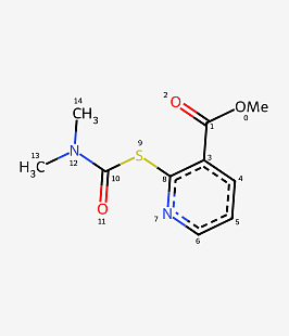 COC(=O)c1cccnc1SC(=O)N(C)C